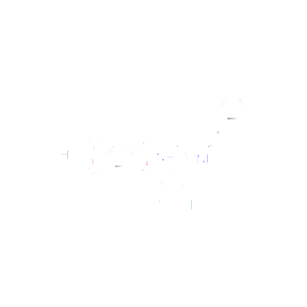 CS(=O)(=O)c1ccc(S(=O)(=O)Nc2cc(Cl)c(Cl)cc2C(=O)NC23CC(c4ccccc4)(C2)C3)cc1